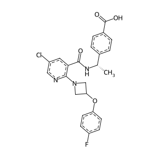 C[C@H](NC(=O)c1cc(Cl)cnc1N1CC(Oc2ccc(F)cc2)C1)c1ccc(C(=O)O)cc1